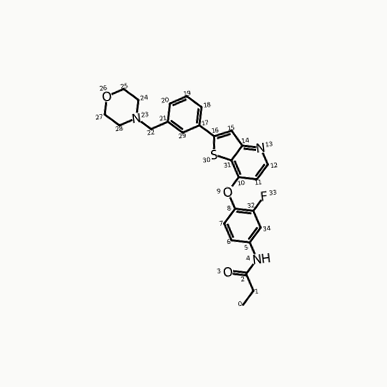 CCC(=O)Nc1ccc(Oc2ccnc3cc(-c4cccc(CN5CCOCC5)c4)sc23)c(F)c1